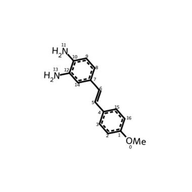 COc1ccc(C=Cc2ccc(N)c(N)c2)cc1